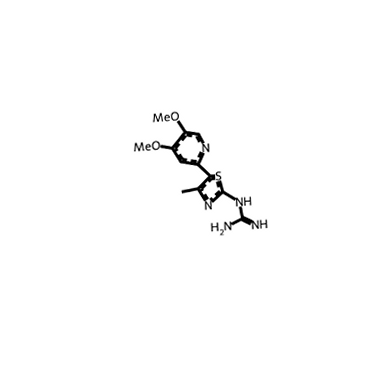 COc1cnc(-c2sc(NC(=N)N)nc2C)cc1OC